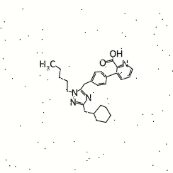 CCCCCn1nc(CC2CCCCC2)nc1Cc1ccc(-c2cccnc2C(=O)O)cc1